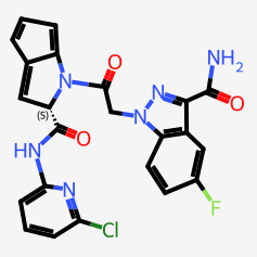 NC(=O)c1nn(CC(=O)N2C3=CC=CC3=C[C@H]2C(=O)Nc2cccc(Cl)n2)c2ccc(F)cc12